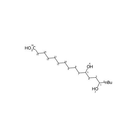 CCCCC(O)CCC(O)CCCCCCCCCC(=O)O